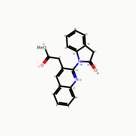 COC(=O)Cc1cc2ccccc2nc1N1C(=O)Cc2ccccc21